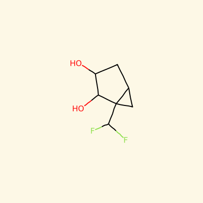 OC1CC2CC2(C(F)F)C1O